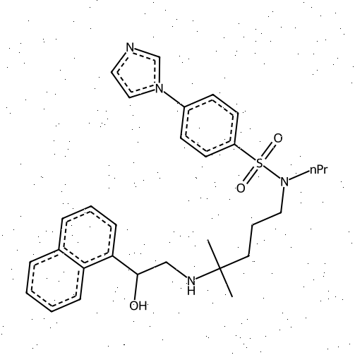 CCCN(CCCC(C)(C)NCC(O)c1cccc2ccccc12)S(=O)(=O)c1ccc(-n2ccnc2)cc1